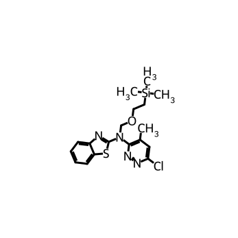 Cc1cc(Cl)nnc1N(COCC[Si](C)(C)C)c1nc2ccccc2s1